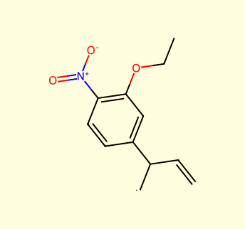 [CH2]C(C=C)c1ccc([N+](=O)[O-])c(OCC)c1